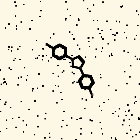 Fc1ccc(N2C=CN(c3ccc(F)cc3)C2)cc1